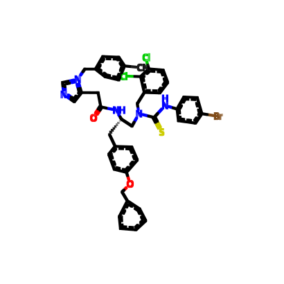 N#Cc1ccc(Cn2cncc2CC(=O)N[C@@H](Cc2ccc(OCc3ccccc3)cc2)CN(Cc2cccc(Cl)c2Cl)C(=S)Nc2ccc(Br)cc2)cc1